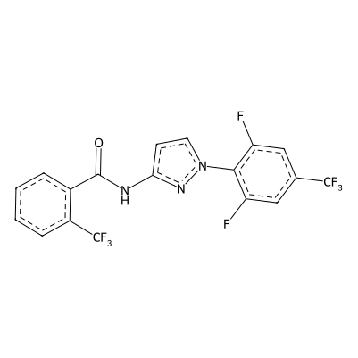 O=C(Nc1ccn(-c2c(F)cc(C(F)(F)F)cc2F)n1)c1ccccc1C(F)(F)F